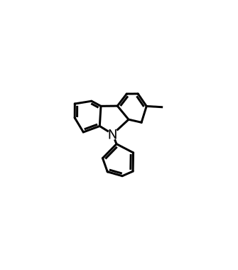 CC1=CC=C2c3ccccc3N(c3ccccc3)C2C1